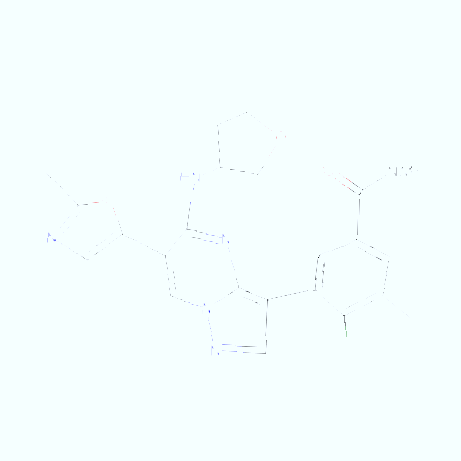 CNC(=O)c1cc(C)c(F)c(-c2cnn3cc(-c4cnc(C)o4)c(NC4CCOC4)nc23)c1